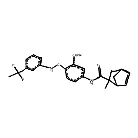 COc1cc(NC(=O)C2(C)CC3C=CC2C3)ccc1SNc1cccc(C(C)(F)F)c1